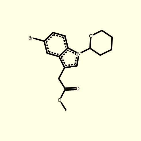 COC(=O)Cc1cn(C2CCCCO2)c2ccc(Br)cc12